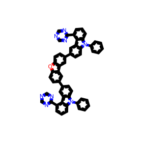 c1ccc(-n2c3ccc(-c4ccc5oc6ccc(-c7ccc8c(c7)c7c(-c9ncncn9)cccc7n8-c7ccccc7)cc6c5c4)cc3c3c(-c4ncncn4)cccc32)cc1